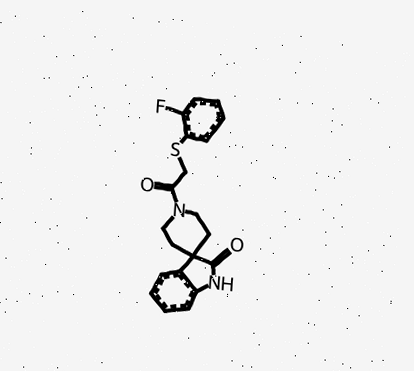 O=C(CSc1ccccc1F)N1CCC2(CC1)C(=O)Nc1ccccc12